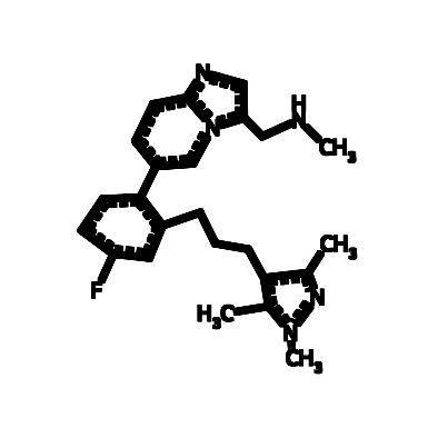 CNCc1cnc2ccc(-c3ccc(F)cc3CCCc3c(C)nn(C)c3C)cn12